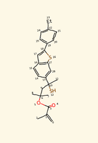 C=C(C)C(=O)OC(C)(C)CC(C)(S)c1ccc2cc(-c3ccc(CC)cc3)sc2c1